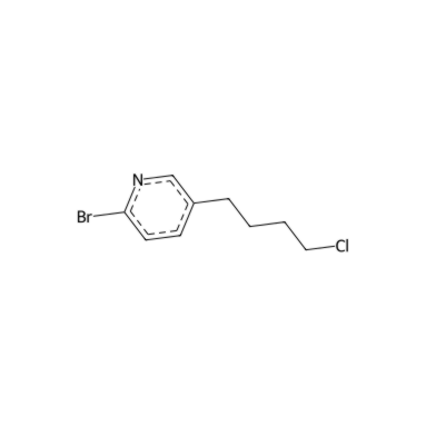 ClCCCCc1ccc(Br)nc1